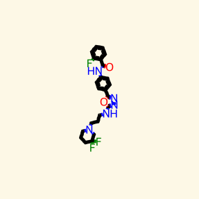 O=C(Nc1ccc(-c2nnc(NCCCN3CCCC(F)(F)C3)o2)cc1)c1ccccc1F